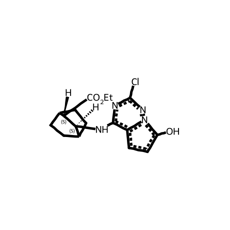 CCOC(=O)[C@H]1C2CCC(CC2)[C@@H]1Nc1nc(Cl)nn2c(O)ccc12